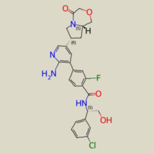 Nc1ncc([C@H]2C[C@H]3COCC(=O)N3C2)cc1-c1ccc(C(=O)N[C@H](CO)c2cccc(Cl)c2)c(F)c1